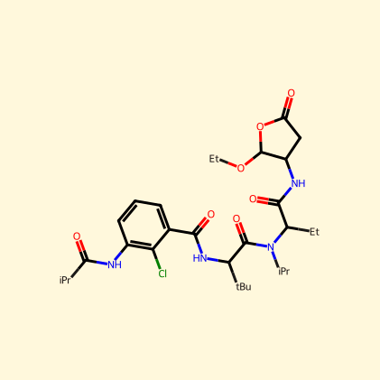 CCOC1OC(=O)CC1NC(=O)C(CC)N(C(=O)C(NC(=O)c1cccc(NC(=O)C(C)C)c1Cl)C(C)(C)C)C(C)C